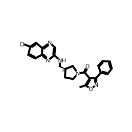 Cc1onc(-c2ccccc2)c1C(=O)N1CC[C@@H](CNc2cnc3cc(Cl)ccc3n2)C1